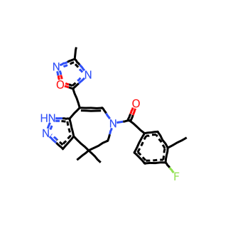 Cc1noc(C2=CN(C(=O)c3ccc(F)c(C)c3)CC(C)(C)c3cn[nH]c32)n1